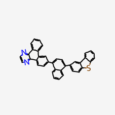 c1ccc2c(c1)sc1ccc(-c3ccc(-c4ccc5c(c4)c4ccccc4c4nccnc54)c4ccccc34)cc12